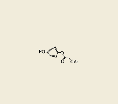 CC(=O)OCC(=O)Oc1ccc(O)cc1